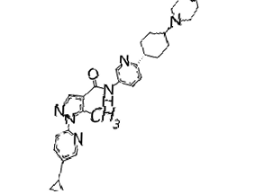 Cc1c(C(=O)Nc2ccc([C@H]3CC[C@H](N4CCOCC4)CC3)nc2)cnn1-c1ccc(C2CC2)cn1